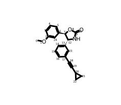 COc1cccc([C@H]2OC(=O)N[C@@H]2c2cccc(C#CC3CC3)c2)c1